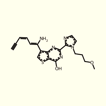 C#C/C=C\C=C(/N)c1csc2c(O)nc(-c3nccn3CCCOC)nc12